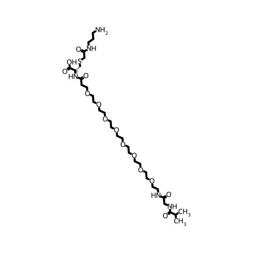 CC(C)C(=O)NCC(=O)NCCOCCOCCOCCOCCOCCOCCOCCOCCC(=O)N[C@@H](CSCC(=O)NCCCN)C(=O)O